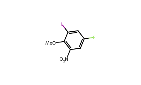 COc1c(I)cc(F)cc1[N+](=O)[O-]